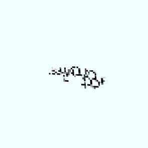 Cc1ccc(F)c2ccnc(N[C@@H]3CCCN(C(=O)OC(C)(C)C)C3)c12